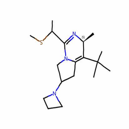 CSC(C)C1=N[C@@H](C)C(C(C)(C)C)=C2CC(N3CCC3)CN12